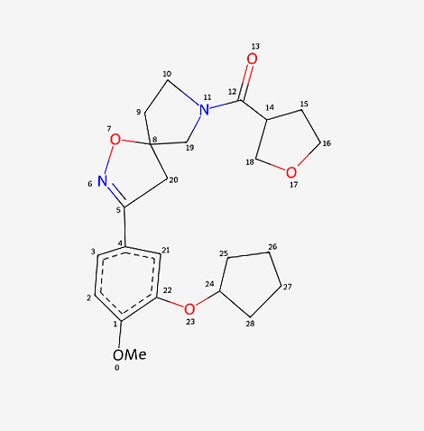 COc1ccc(C2=NOC3(CCN(C(=O)C4CCOC4)C3)C2)cc1OC1CCCC1